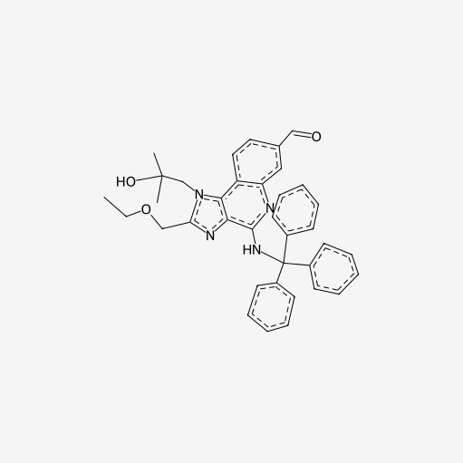 CCOCc1nc2c(NC(c3ccccc3)(c3ccccc3)c3ccccc3)nc3cc(C=O)ccc3c2n1CC(C)(C)O